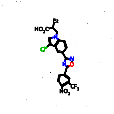 CCC(Cn1cc(Cl)c2cc(-c3noc(-c4ccc([N+](=O)[O-])c(C(F)(F)F)c4)n3)ccc21)C(=O)O